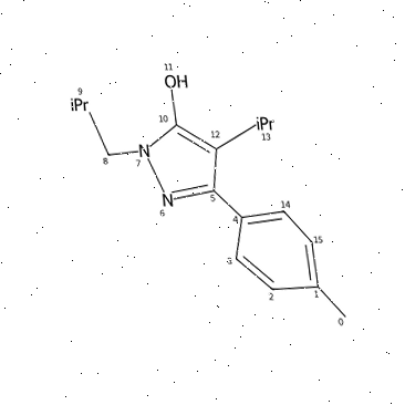 Cc1ccc(-c2nn(CC(C)C)c(O)c2C(C)C)cc1